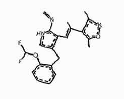 C=Nc1[nH]cc(Cc2ccccc2OC(F)F)c1/C=C(\C)c1c(C)noc1C